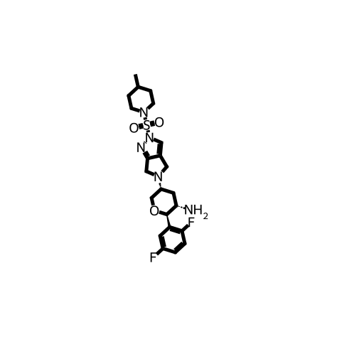 CC1CCN(S(=O)(=O)n2cc3c(n2)CN([C@H]2CO[C@H](c4cc(F)ccc4F)[C@@H](N)C2)C3)CC1